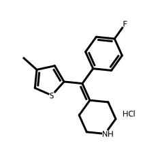 Cc1csc(C(=C2CCNCC2)c2ccc(F)cc2)c1.Cl